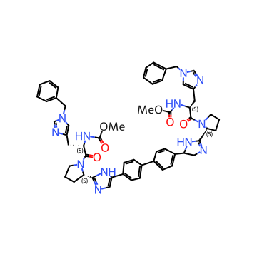 COC(=O)N[C@@H](Cc1cn(Cc2ccccc2)cn1)C(=O)N1CCC[C@H]1C1=NCC(c2ccc(-c3ccc(-c4cnc([C@@H]5CCCN5C(=O)[C@H](Cc5cn(Cc6ccccc6)cn5)NC(=O)OC)[nH]4)cc3)cc2)N1